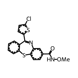 CONC(=O)c1ccc2c(c1)N=C(c1ccc(Cl)s1)c1ccccc1S2